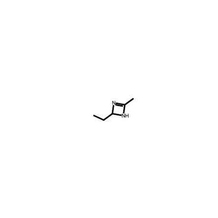 CCC1N=C(C)N1